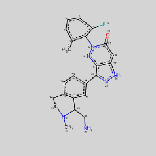 Cc1cccc(F)c1-n1nc2c(-c3ccc4c(c3)C(CN)N(C)CC4)n[nH]c2cc1=O